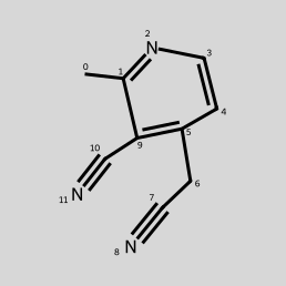 Cc1nccc(CC#N)c1C#N